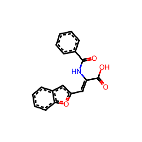 O=C(O)/C(=C/c1cc2ccccc2o1)NC(=O)c1ccccc1